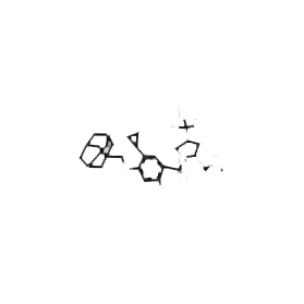 COC(=O)[C@@H]1C[C@H](C(F)(F)F)CN1C(=O)c1cc(C2CC2)c(OCC23CC4CC(CC(C4)C2)C3)cc1F